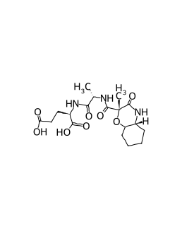 C[C@H](NC(=O)[C@@]1(C)OC2CCCC[C@H]2NC1=O)C(=O)N[C@H](CCC(=O)O)C(=O)O